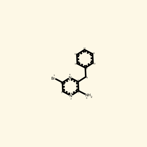 Nc1ncc(Br)nc1Cc1ccccc1